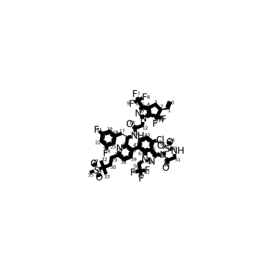 C=C[C@@H]1Cc2c(C(F)(F)F)nn(CC(=O)N[C@@H](Cc3cc(F)cc(F)c3)c3nc(CCC(C)(C)S(C)(=O)=O)ccc3-c3ccc(Cl)c4c(N5C(=O)CNS5(=O)=O)nn(CC(F)(F)F)c34)c2C1(F)F